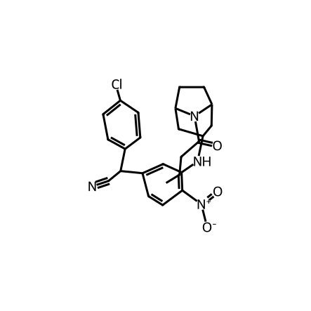 CCCC(=O)N1C2CCC1CC(Nc1cc(C(C#N)c3ccc(Cl)cc3)ccc1[N+](=O)[O-])C2